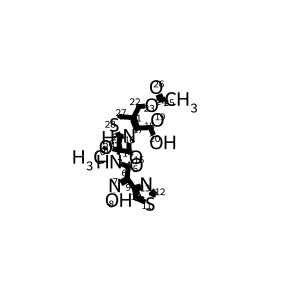 CO[C@@]1(NC(=O)C(=NO)c2cscn2)C(=O)N2C(C(=O)O)=C(COC(C)=O)CS[C@@H]21